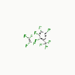 FC(F)=C(F)F.Fc1cc(C(F)(F)F)c(F)c(F)c1F